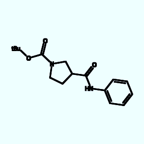 CC(C)(C)OC(=O)N1CCC(C(=O)Nc2ccccc2)C1